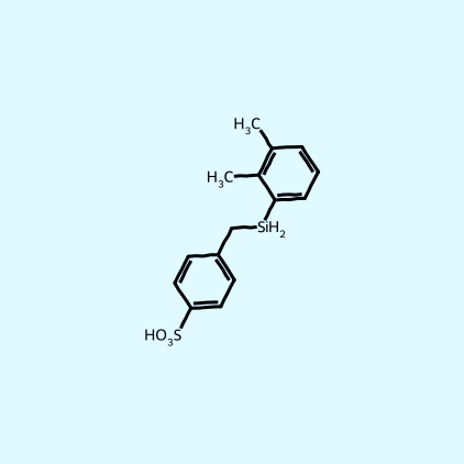 Cc1cccc([SiH2]Cc2ccc(S(=O)(=O)O)cc2)c1C